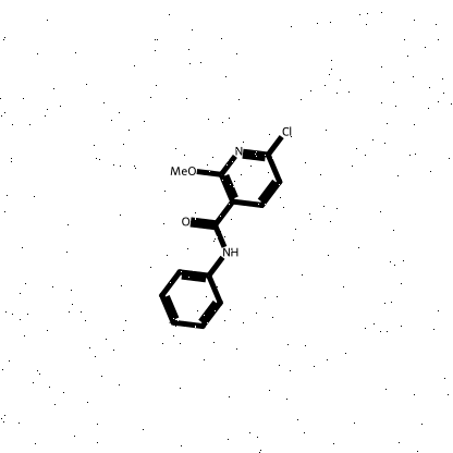 COc1nc(Cl)ccc1C(=O)Nc1cc[c]cc1